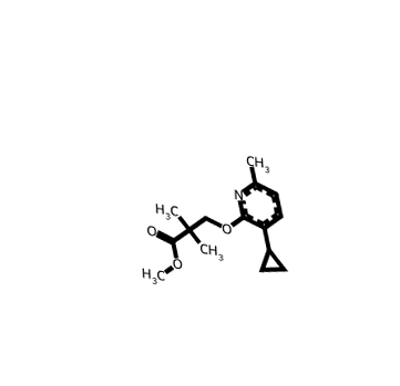 COC(=O)C(C)(C)COc1nc(C)ccc1C1CC1